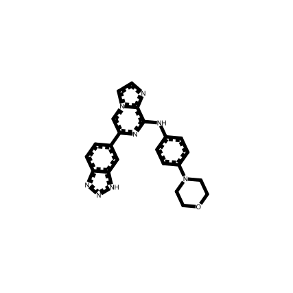 c1cn2cc(-c3ccc4nn[nH]c4c3)nc(Nc3ccc(N4CCOCC4)cc3)c2n1